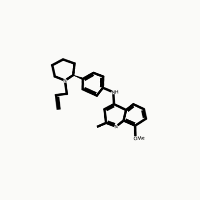 C=CCN1CCCC[C@H]1c1ccc(Nc2cc(C)nc3c(OC)cccc23)cc1